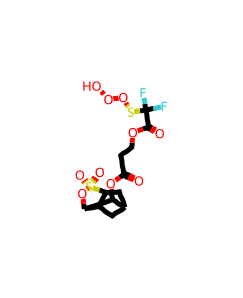 O=C(CCOC(=O)C(F)(F)SOOO)OC1C2CC3C1OS(=O)(=O)C3C2